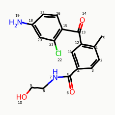 Cc1ccc(C(=O)NCCO)cc1C(=O)c1ccc(N)cc1Cl